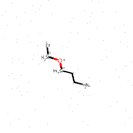 CCCCCC[SiH2]O[SiH2]CC